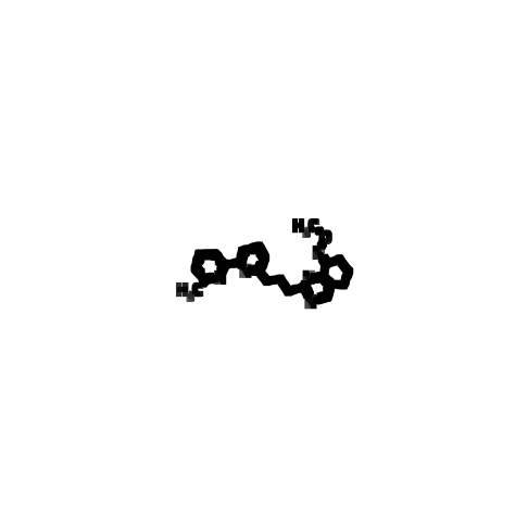 CO/N=C1\CCCc2cnc(CCCc3cccc(-c4cccc(C)n4)n3)nc21